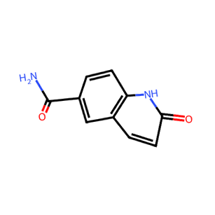 NC(=O)c1ccc2[nH]c(=O)ccc2c1